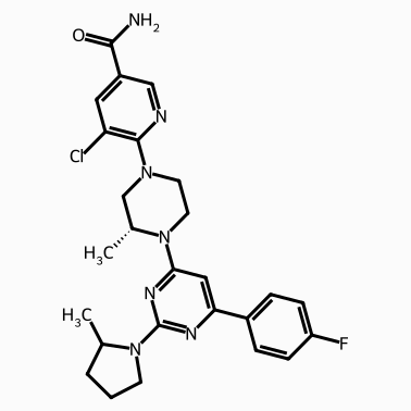 CC1CCCN1c1nc(-c2ccc(F)cc2)cc(N2CCN(c3ncc(C(N)=O)cc3Cl)C[C@H]2C)n1